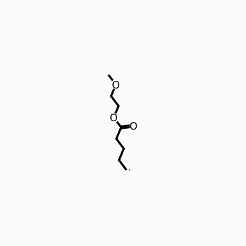 [CH2]CCCC(=O)OCCOC